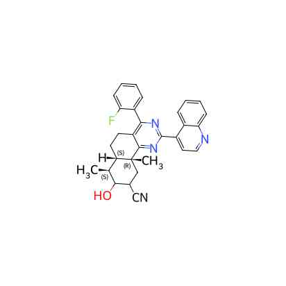 C[C@@H]1C(O)C(C#N)C[C@@]2(C)c3nc(-c4ccnc5ccccc45)nc(-c4ccccc4F)c3CC[C@@H]12